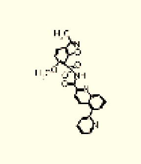 COc1ccc2c(C)noc2c1S(=O)(=O)NC(=O)c1ccc2c(-c3ccccn3)cccc2n1